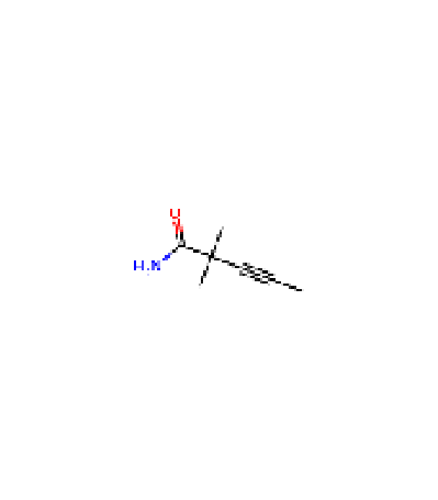 CC#CC(C)(C)C(N)=O